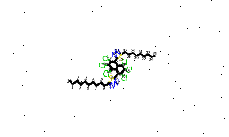 CCCCCCCCCCc1nnc(-c2c(Cl)c(Cl)c(Cl)c3c(-c4nnc(CCCCCCCCC)s4)c(Cl)c(Cl)c(Cl)c23)s1